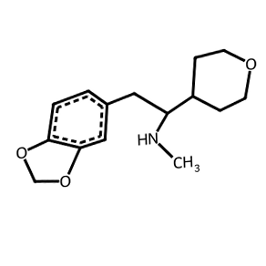 CNC(Cc1ccc2c(c1)OCO2)C1CCOCC1